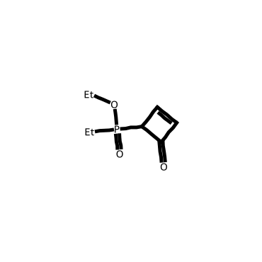 CCOP(=O)(CC)C1C=CC1=O